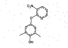 Cc1cc(Oc2n[c]ccc2[N+](=O)[O-])cc(C)c1O